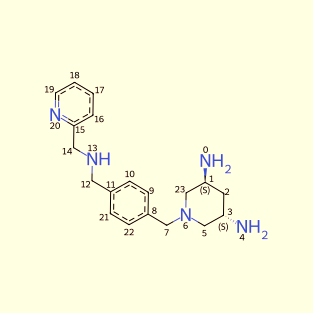 N[C@H]1C[C@H](N)CN(Cc2ccc(CNCc3ccccn3)cc2)C1